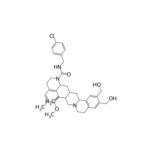 CCC1CN2CCc3cc(CO)c(CO)cc3C2CC1CC1c2cc(OC)c(C)cc2CCN1C(=O)NCc1ccc(Cl)cc1